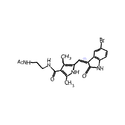 CC(=O)NCCNC(=O)c1c(C)[nH]c(/C=C2\C(=O)Nc3ccc(Br)cc32)c1C